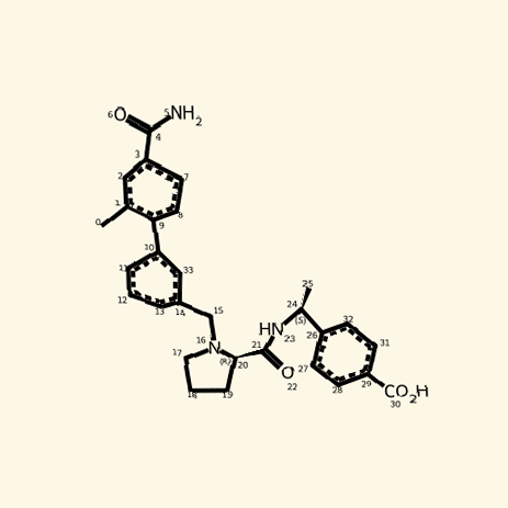 Cc1cc(C(N)=O)ccc1-c1cccc(CN2CCC[C@@H]2C(=O)N[C@@H](C)c2ccc(C(=O)O)cc2)c1